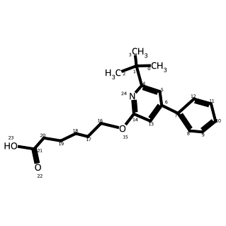 CC(C)(C)c1cc(-c2ccccc2)cc(OCCCCCC(=O)O)n1